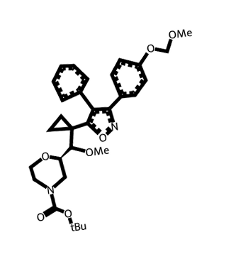 COCOc1ccc(-c2noc(C3(C(OC)[C@H]4CN(C(=O)OC(C)(C)C)CCO4)CC3)c2-c2ccccc2)cc1